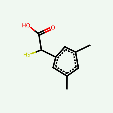 Cc1cc(C)cc(C(S)C(=O)O)c1